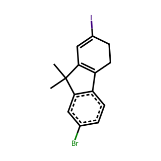 CC1(C)C2=C(CCC(I)=C2)c2ccc(Br)cc21